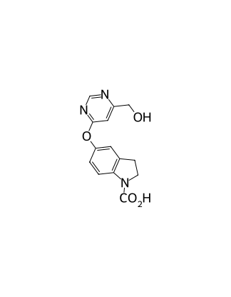 O=C(O)N1CCc2cc(Oc3cc(CO)ncn3)ccc21